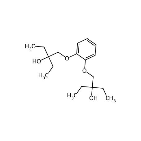 CCC(O)(CC)COc1ccccc1OCC(O)(CC)CC